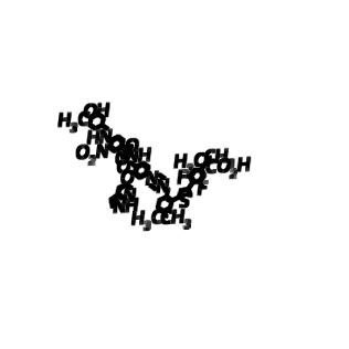 CC1(C)CCC(CN2CCN(c3ccc(C(=O)NS(=O)(=O)c4ccc(NCC5CCC(C)(O)CC5)c([N+](=O)[O-])c4)c(Oc4cnc5[nH]ccc5c4)c3)CC2)=C(c2cc(-c3c(F)cc(C(C)(C)C(=O)O)cc3F)cs2)C1